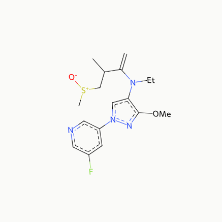 C=C(C(C)C[S+](C)[O-])N(CC)c1cn(-c2cncc(F)c2)nc1OC